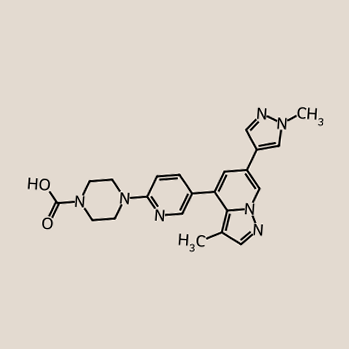 Cc1cnn2cc(-c3cnn(C)c3)cc(-c3ccc(N4CCN(C(=O)O)CC4)nc3)c12